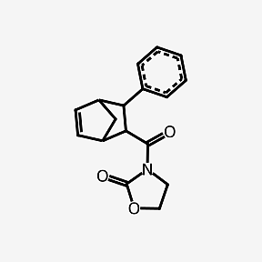 O=C1OCCN1C(=O)C1C2C=CC(C2)C1c1ccccc1